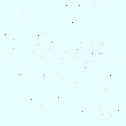 Cc1sc(N(CCc2ccc(C#N)cc2)Cc2ccc(Cl)cc2)nc1C(=O)NS(=O)(=O)C(F)(F)F